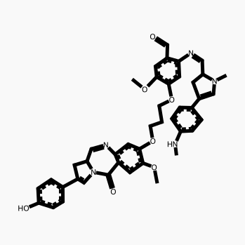 CNc1ccc(C2=CN(C)C(/C=N\c3cc(OCCCOc4cc5c(cc4OC)C(=O)N4C=C(c6ccc(O)cc6)CC4C=N5)c(OC)cc3C=O)C2)cc1